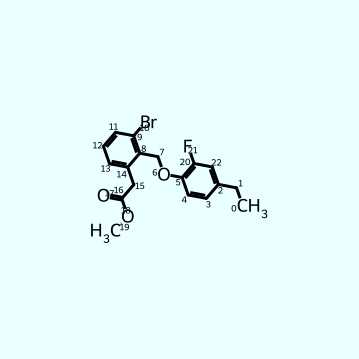 CCc1ccc(OCc2c(Br)cccc2CC(=O)OC)c(F)c1